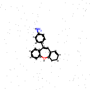 Nc1ccc(C2=CC3=C(CCC=C3)Oc3ccccc32)cc1